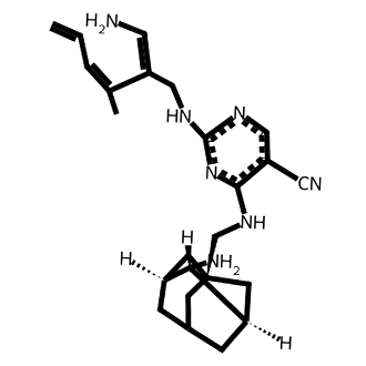 C=C/C=C(C)\C(=C/N)CNc1ncc(C#N)c(NC[C@]23CC4C[C@H](C2)[C@@H](N)[C@@H](C4)C3)n1